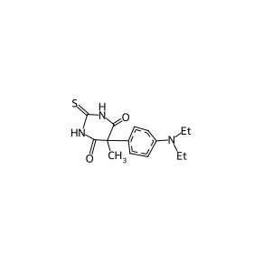 CCN(CC)c1ccc(C2(C)C(=O)NC(=S)NC2=O)cc1